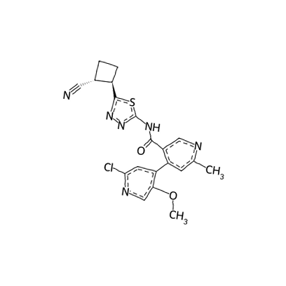 COc1cnc(Cl)cc1-c1cc(C)ncc1C(=O)Nc1nnc([C@@H]2CC[C@H]2C#N)s1